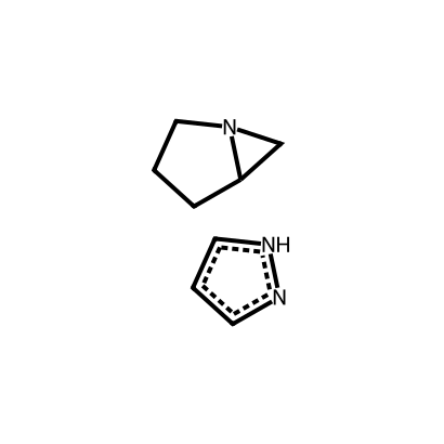 C1CC2CN2C1.c1cn[nH]c1